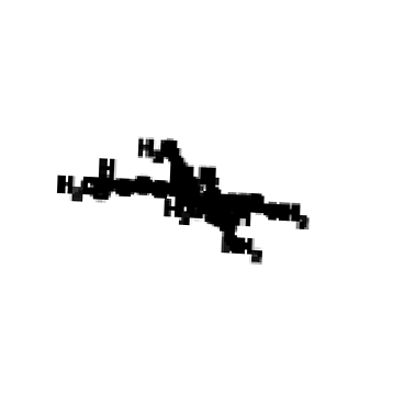 C=CC(=O)NCCOCCOCCOCCNC(=O)N(CCCCCCCC)CCC[C@@H](C)[C@H]1CC[C@H]2[C@@H]3[C@H](OCCCN)C[C@@H]4C[C@H](OCCCN)CC[C@]4(C)[C@H]3C[C@H](OCCCN)[C@]12C